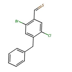 S=Cc1cc(Cl)c(Cc2ccccc2)cc1Br